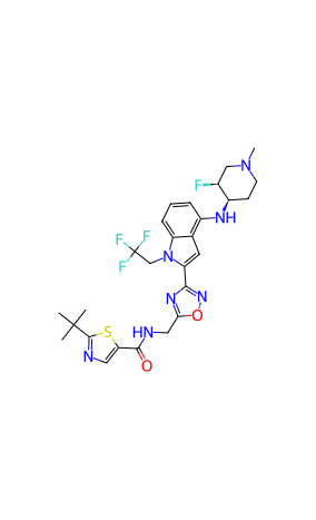 CN1CC[C@@H](Nc2cccc3c2cc(-c2noc(CNC(=O)c4cnc(C(C)(C)C)s4)n2)n3CC(F)(F)F)[C@@H](F)C1